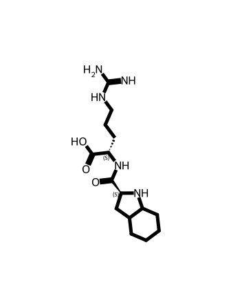 N=C(N)NCCC[C@H](NC(=O)[C@@H]1CC2CCCCC2N1)C(=O)O